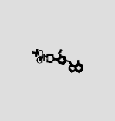 CCc1cc(CC2CCc3cccc(C)c32)ccc1C1CCN(C(=O)OC(C)(C)C)CC1